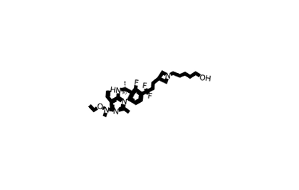 C=Cc1c(N[C@H](C)c2cccc(C(F)(F)CCC3CN(CCCCCO)C3)c2F)nc(C)nc1N(C)OCC